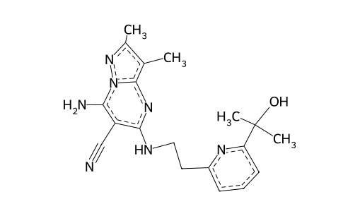 Cc1nn2c(N)c(C#N)c(NCCc3cccc(C(C)(C)O)n3)nc2c1C